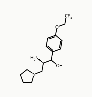 N[C@H](CN1CCCC1)C(O)c1ccc(OCC(F)(F)F)cc1